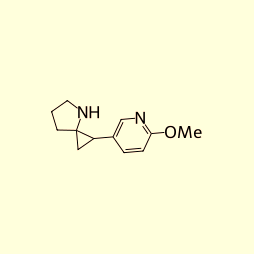 COc1ccc(C2CC23CCCN3)cn1